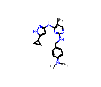 Bc1cnc(NCc2ccc(N(C)C)cc2)nc1Nc1cc(C2CC2)[nH]n1